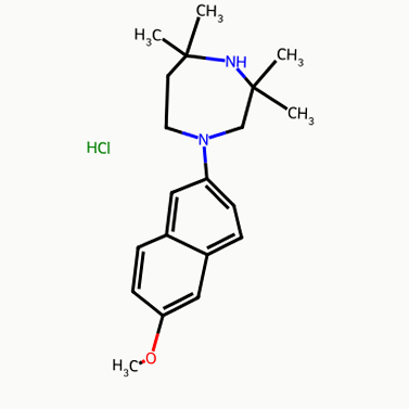 COc1ccc2cc(N3CCC(C)(C)NC(C)(C)C3)ccc2c1.Cl